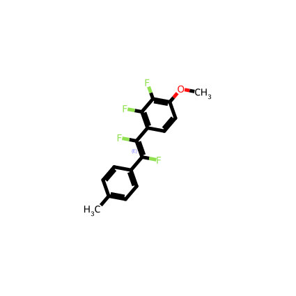 COc1ccc(/C(F)=C(\F)c2ccc(C)cc2)c(F)c1F